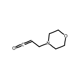 O=C=CCN1CCOCC1